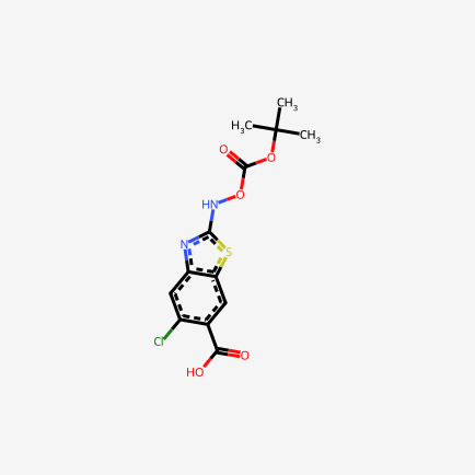 CC(C)(C)OC(=O)ONc1nc2cc(Cl)c(C(=O)O)cc2s1